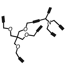 C#CCOCC(COCC#C)(COCC#C)COCC#CC(C#C)N(CC#C)CC#C